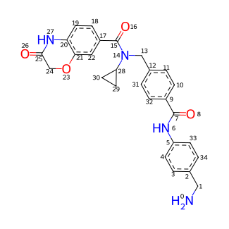 NCc1ccc(NC(=O)c2ccc(CN(C(=O)c3ccc4c(c3)OCC(=O)N4)C3CC3)cc2)cc1